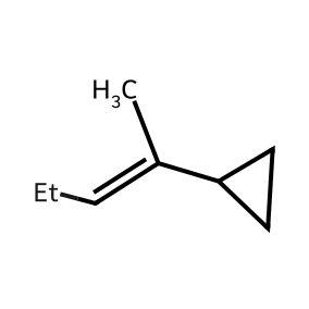 CCC=C(C)C1CC1